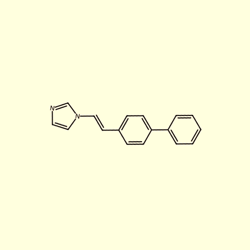 C(=Cn1ccnc1)c1ccc(-c2ccccc2)cc1